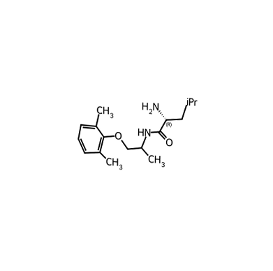 Cc1cccc(C)c1OCC(C)NC(=O)[C@H](N)CC(C)C